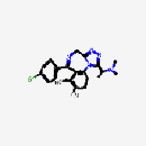 CC(c1nnc2n1-c1ccc(C#N)c(C#N)c1C(c1ccc(Br)cc1)=NC2)N(C)C